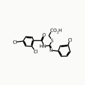 O=C(O)CSC(=Nc1cccc(Cl)c1)NC(=O)c1ccc(Cl)cc1Cl